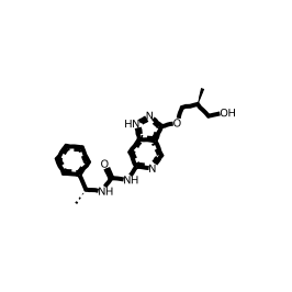 C[C@@H](CO)COc1n[nH]c2cc(NC(=O)N[C@H](C)c3ccccc3)ncc12